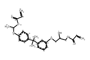 C=CC(=O)OCC(O)COc1cccc(C(C)(C)c2ccc(OC(C)OC(=O)C=C)cc2)c1